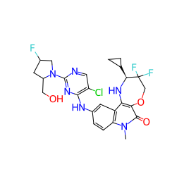 Cn1c(=O)c2c(c3cc(Nc4nc(N5CC(F)CC5CO)ncc4Cl)ccc31)N[C@@H](C1CC1)C(F)(F)CO2